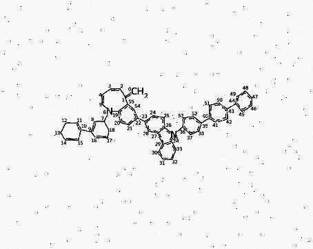 C=C1/C=C\C=C/N(C2C=C(C3=CCCC=C3)C=CC2)c2ccc(-c3ccc4c(c3)c3ccccc3n4-c3ccc(-c4ccc(-c5ccccc5)cc4)cc3)cc21